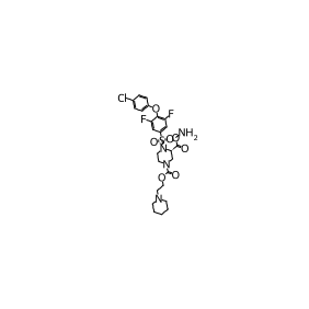 NOC(=O)[C@H]1CN(C(=O)OCCN2CCCCC2)CCN1S(=O)(=O)c1cc(F)c(Oc2ccc(Cl)cc2)c(F)c1